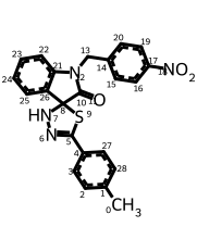 Cc1ccc(C2=NNC3(S2)C(=O)N(Cc2ccc([N+](=O)[O-])cc2)c2ccccc23)cc1